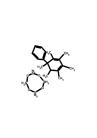 CC1=C(C)C(C)C(C)(c2ccccc2)C(C)=C1C.O1[SiH2]O[SiH2]O[SiH2]O[SiH2]1